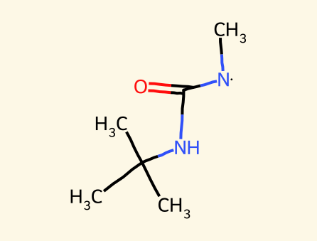 C[N]C(=O)NC(C)(C)C